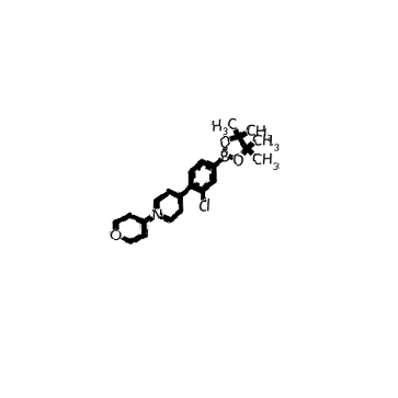 CC1(C)OB(c2ccc(C3CCN(C4CCOCC4)CC3)c(Cl)c2)OC1(C)C